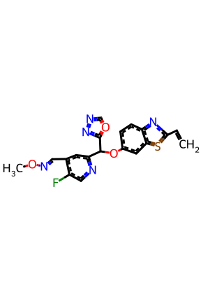 C=Cc1nc2ccc(OC(c3cc(/C=N/OC)c(F)cn3)c3nnco3)cc2s1